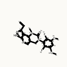 C=Cc1n[nH]c2ncc3c(c12)N(C)C(=O)N(c1c(F)c(OC)cc(OC)c1F)C3